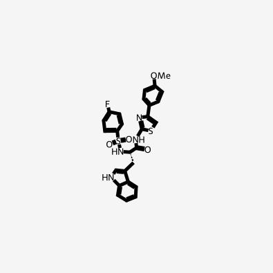 COc1ccc(-c2csc(NC(=O)[C@H](Cc3c[nH]c4ccccc34)NS(=O)(=O)c3ccc(F)cc3)n2)cc1